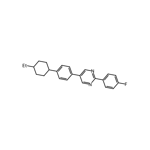 CCC1CCC(c2ccc(-c3cnc(-c4ccc(F)cc4)nc3)cc2)CC1